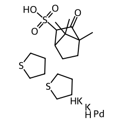 C1CCSC1.C1CCSC1.CC12CCC(C(S(=O)(=O)O)C1=O)C2(C)C.[KH].[KH].[Pd]